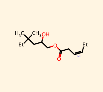 CC/C=C\CC(=O)OCC(O)CC(C)(C)CC